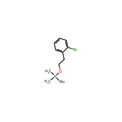 CC(C)(C)[Si](C)(C)OCCc1ccccc1Br